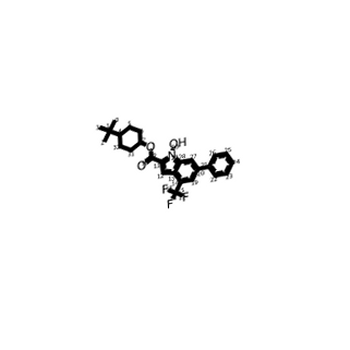 CC(C)(C)C1CCC(OC(=O)c2cc3c(C(F)(F)F)cc(-c4ccccc4)cc3n2O)CC1